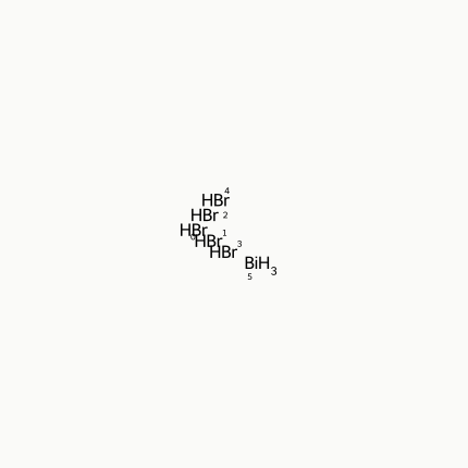 Br.Br.Br.Br.Br.[BiH3]